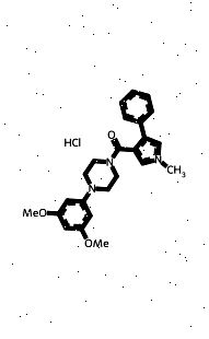 COc1cc(OC)cc(N2CCN(C(=O)c3cn(C)cc3-c3ccccc3)CC2)c1.Cl